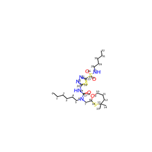 CCCCCCN(CC1OCCCC(C)(C)S1)C(=O)Nc1nnc(S(=O)(=O)NCCCCC)s1